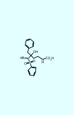 CCCCN(C(O)(CCNC(=O)O)Cc1ccccc1)S(=O)(=O)c1ccccc1